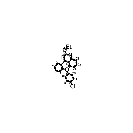 CCOc1nc(-c2ccccc2)c2c(Oc3ccc(Cl)cc3)cccc2n1